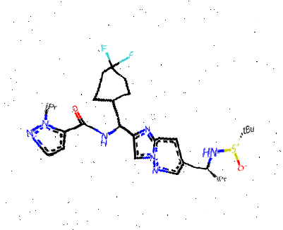 CC(C)[C@H](N[S@@+]([O-])C(C)(C)C)c1cnn2cc([C@@H](NC(=O)c3ccnn3C(C)C)C3CCC(F)(F)CC3)nc2c1